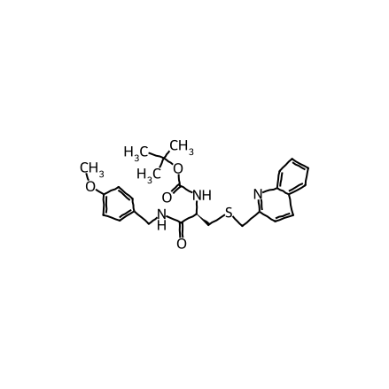 COc1ccc(CNC(=O)[C@H](CSCc2ccc3ccccc3n2)NC(=O)OC(C)(C)C)cc1